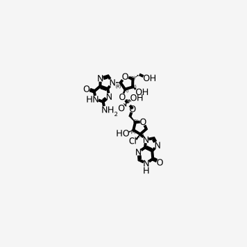 Nc1nc2c(ncn2[C@@H]2O[C@H](CO)[C@@H](O)[C@H]2OP(=O)(O)OC[C@H]2OC[C@](Cl)(n3cnc4c(=O)[nH]cnc43)[C@@H]2O)c(=O)[nH]1